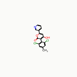 Cc1cc(Cl)c(-c2c(O)cc(-c3cccnc3)oc2=O)c(Cl)c1